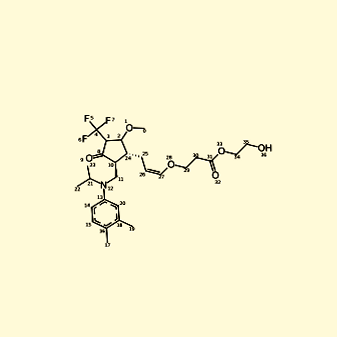 COC1C(C(F)(F)F)C(=O)[C@H](CN(c2ccc(C)c(C)c2)C(C)C)[C@H]1C/C=C\OCCC(=O)OCCO